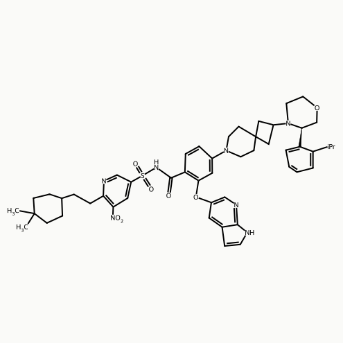 CC(C)c1ccccc1[C@@H]1COCCN1C1CC2(CCN(c3ccc(C(=O)NS(=O)(=O)c4cnc(CCC5CCC(C)(C)CC5)c([N+](=O)[O-])c4)c(Oc4cnc5[nH]ccc5c4)c3)CC2)C1